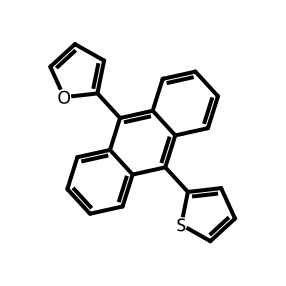 c1coc(-c2c3ccccc3c(-c3cccs3)c3ccccc23)c1